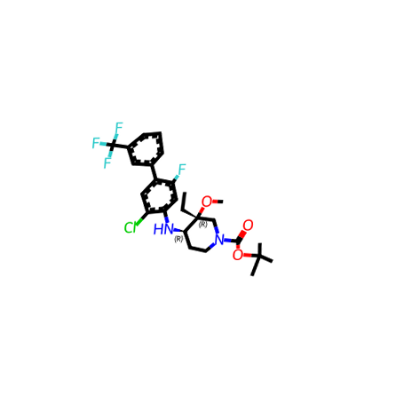 CC[C@@]1(OC)CN(C(=O)OC(C)(C)C)CC[C@H]1Nc1cc(F)c(-c2cccc(C(F)(F)F)c2)cc1Cl